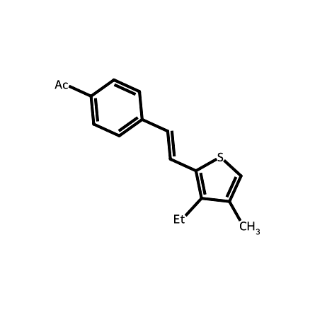 CCc1c(C)csc1C=Cc1ccc(C(C)=O)cc1